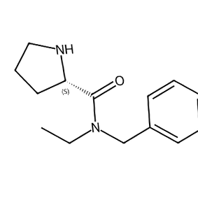 CCN(Cc1ccccc1)C(=O)[C@@H]1CCCN1